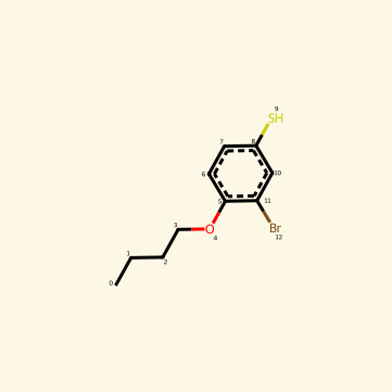 CCCCOc1ccc(S)cc1Br